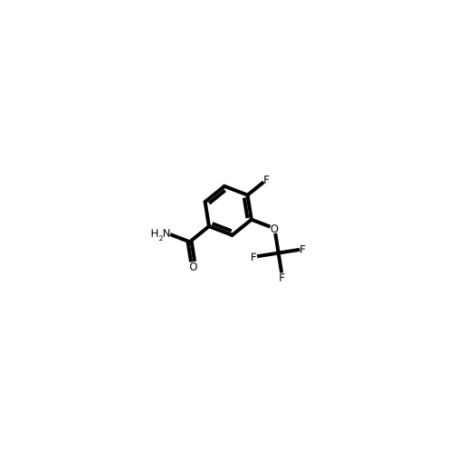 NC(=O)c1ccc(F)c(OC(F)(F)F)c1